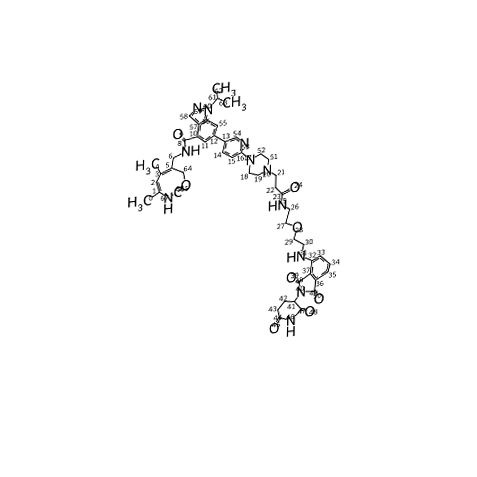 C/C1=C/C(C)=C(/CNC(=O)c2cc(-c3ccc(N4CCN(CCC(=O)NCCOCCNc5cccc6c5C(=O)N(C5CCC(=O)NC5=O)C6=O)CC4)nc3)cc3c2cnn3C(C)C)COCN1